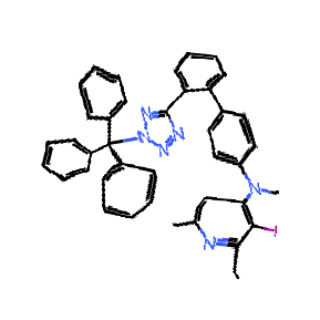 Cc1cc(N(C)c2ccc(-c3ccccc3-c3nnn(C(c4ccccc4)(c4ccccc4)c4ccccc4)n3)cc2)c(I)c(C)n1